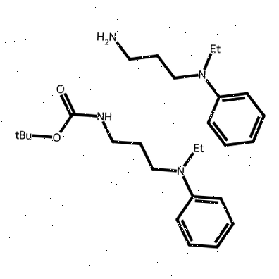 CCN(CCCN)c1ccccc1.CCN(CCCNC(=O)OC(C)(C)C)c1ccccc1